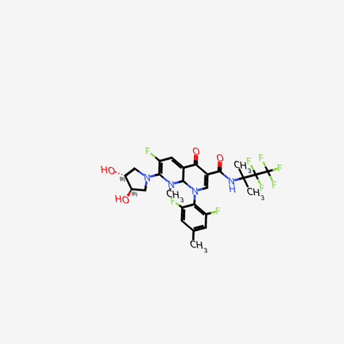 Cc1cc(F)c(N2C=C(C(=O)NC(C)(C)C(F)(F)C(F)(F)F)C(=O)C3=CC(F)=C(N4C[C@@H](O)[C@H](O)C4)N(C)C32)c(F)c1